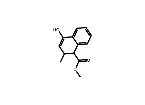 COC(=O)C1c2ccccc2C(O)=CC1C